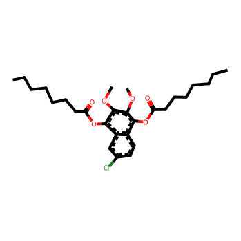 CCCCCCCC(=O)Oc1c(OC)c(OC)c(OC(=O)CCCCCCC)c2cc(Cl)ccc12